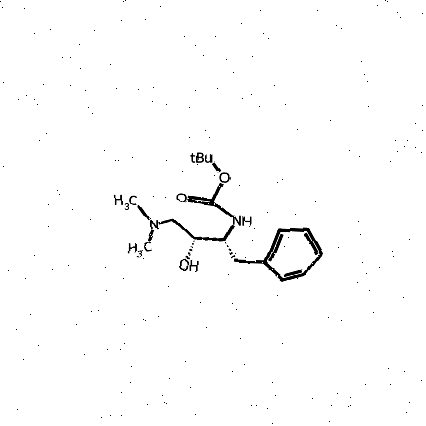 CN(C)C[C@@H](O)[C@@H](Cc1ccccc1)NC(=O)OC(C)(C)C